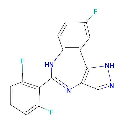 Fc1ccc2c(c1)-c1[nH]ncc1N=C(c1c(F)cccc1F)N2